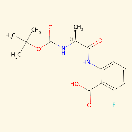 C[C@H](NC(=O)OC(C)(C)C)C(=O)Nc1cccc(F)c1C(=O)O